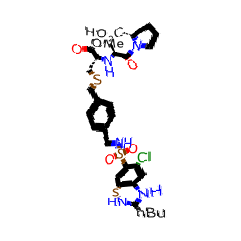 CCCCC1NSc2cc(S(=O)(=O)NCc3ccc(CSC[C@@H](N[C@@H](C)C(=O)N4CCC[C@H]4C(=O)O)C(=O)OC)cc3)c(Cl)cc2N1